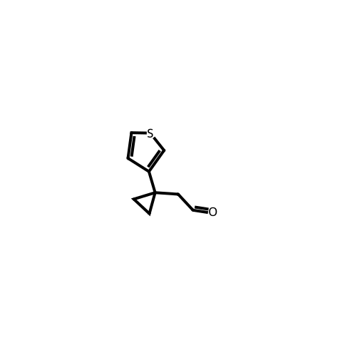 O=CCC1(c2ccsc2)CC1